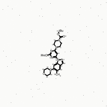 COc1nc(N2CCN(C(=O)OC(C)(C)C)CC2)cc(-n2ncc3cc(C)c(N4CCOCC4)cc32)n1